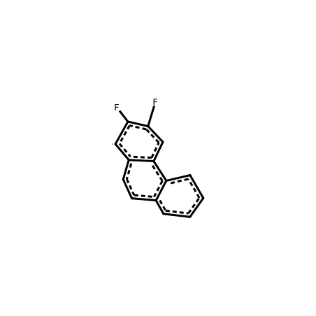 Fc1[c]c2ccc3ccccc3c2cc1F